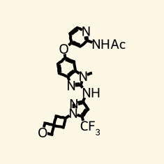 CC(=O)Nc1cc(Oc2ccc3nc(Nc4cc(C(F)(F)F)n(C5CC6(COC6)C5)n4)n(C)c3c2)ccn1